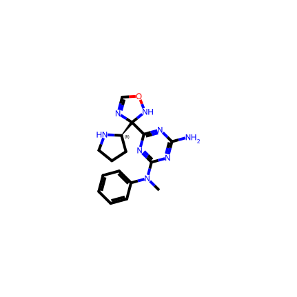 CN(c1ccccc1)c1nc(N)nc(C2([C@H]3CCCN3)N=CON2)n1